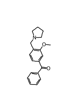 COc1cc(C(=O)c2ccccc2)ccc1CN1CCCC1